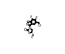 O=Cc1cc2c(N3C[C@H](CF)SC3=O)noc2c(F)c1F